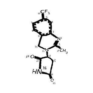 CC1=Nc2cc(C(F)(F)F)ccc2CN1C1CC(=O)NC1=O